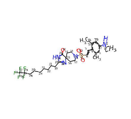 CNc1cc(C)c(/C=C/S(=O)(=O)N2CCC3(CC2)N=C(CCCCCCCC(F)(F)C(F)(F)F)NC3=O)c(C)c1